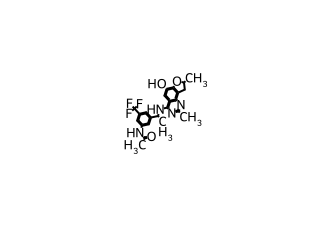 CC(=O)Nc1cc(C(C)Nc2nc(C)nc3c4c(c(O)cc23)OC(C)C4)cc(C(F)(F)F)c1